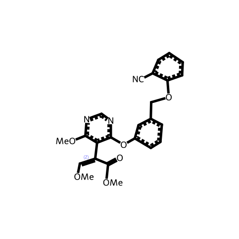 CO/C=C(\C(=O)OC)c1c(OC)ncnc1Oc1cccc(COc2ccccc2C#N)c1